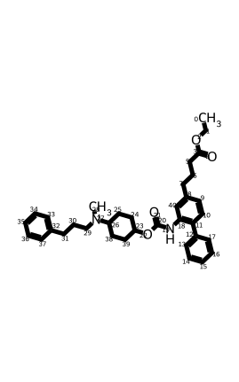 CCOC(=O)CCCc1ccc(-c2ccccc2)c(NC(=O)OC2CCC(N(C)CCCc3ccccc3)CC2)c1